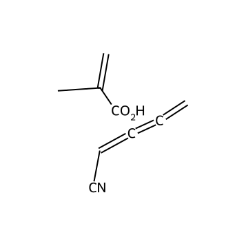 C=C(C)C(=O)O.C=C=C=CC#N